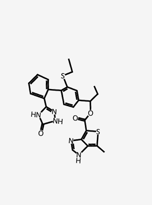 CCSc1cc(C(CC)OC(=O)c2sc(C)c3[nH]cnc23)ccc1-c1ccccc1-c1n[nH]c(=O)[nH]1